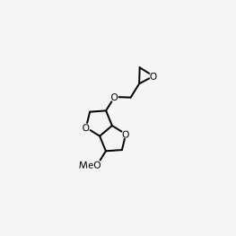 COC1COC2C(OCC3CO3)COC12